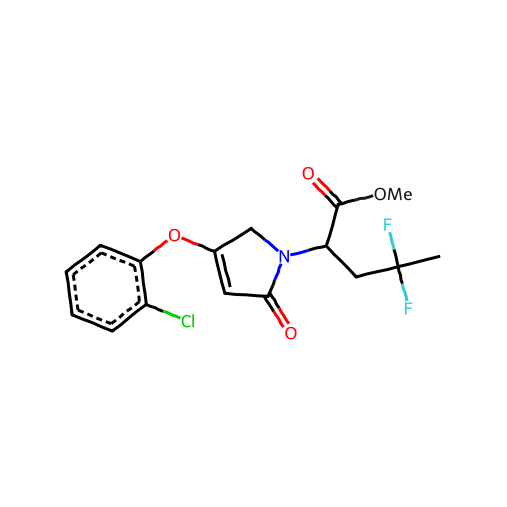 COC(=O)C(CC(C)(F)F)N1CC(Oc2ccccc2Cl)=CC1=O